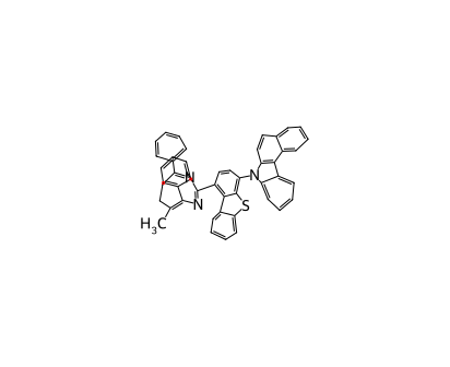 C\C1=C(c2ccccc2)/N=C(c2ccc(-n3c4ccccc4c4c5ccccc5ccc43)c3sc4ccccc4c23)\N=C(\c2ccccc2)CC1